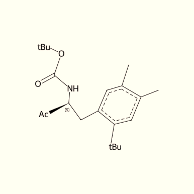 CC(=O)[C@H](Cc1cc(C)c(C)cc1C(C)(C)C)NC(=O)OC(C)(C)C